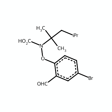 CC(C)CC(C)(C)N(Oc1ccc(Br)cc1C=O)C(=O)O